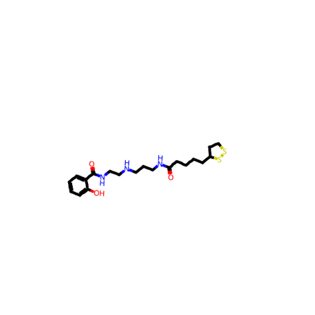 O=C(CCCCC1CCSS1)NCCCNCCNC(=O)c1ccccc1O